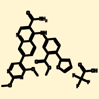 COC(=O)c1cc(Nc2c(C(N)=O)cnc3cc(-c4cnc(OC)nc4OC)ccc23)ccc1-c1ccco1.O=C(O)C(F)(F)F